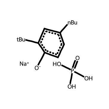 CCCCc1ccc([O-])c(C(C)(C)C)c1.O=P(O)(O)O.[Na+]